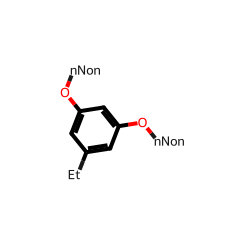 CCCCCCCCCOc1cc(CC)cc(OCCCCCCCCC)c1